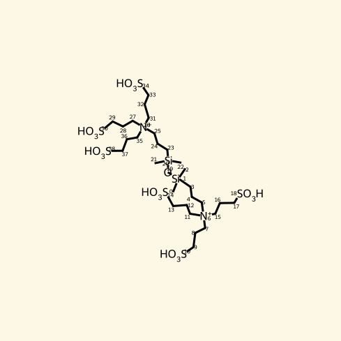 C[Si](C)(CCC[N+](CCCS(=O)(=O)O)(CCCS(=O)(=O)O)CCCS(=O)(=O)O)O[Si](C)(C)CCC[N+](CCCS(=O)(=O)O)(CCCS(=O)(=O)O)CCCS(=O)(=O)O